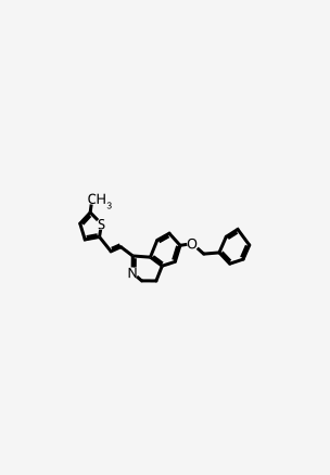 Cc1ccc(C=CC2=NCCc3cc(OCc4ccccc4)ccc32)s1